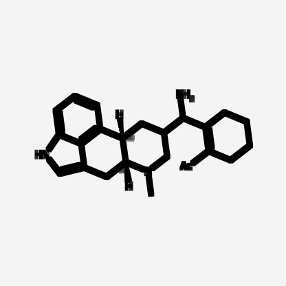 CC(=O)C1=C(C(N)C2C[C@@H]3c4cccc5[nH]cc(c45)C[C@H]3N(C)C2)CCCC1